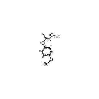 CCON=C(C)Oc1ccc(OC(C)CC)cc1